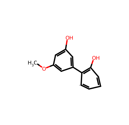 COc1cc(O)cc(-c2[c]cccc2O)c1